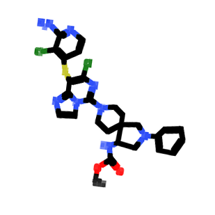 CC(C)(C)OC(=O)N[C@@H]1CN(c2ccccc2)CC12CCN(c1nc(Cl)c(Sc3ccnc(N)c3Cl)c3nccn13)CC2